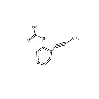 CC#Cc1ccccc1NC(=O)O